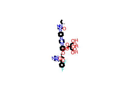 CC[C@H](C)n1ncn(-c2ccc(N3CCN(c4ccc(OC[C@H]5CO[C@](Cn6cncn6)(c6ccc(F)cc6F)O5)cc4)CC3)cc2)c1=O.O=C(O)CC(O)(CC(=O)O)C(=O)O